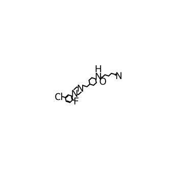 N#CCCCC(=O)NC1CCC(CCN2CCN(c3cc(Cl)ccc3F)CC2)CC1